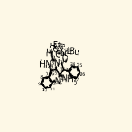 CCOCC1N=C2C(=c3ccccc3=NC2(N)C(CO[Si](C)(C)C(C)(C)C)c2ccccc2)N1